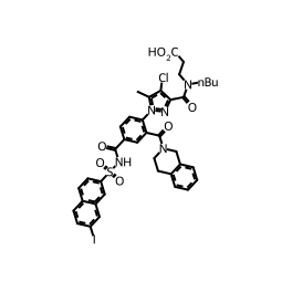 CCCCN(CCC(=O)O)C(=O)c1nn(-c2ccc(C(=O)NS(=O)(=O)c3ccc4ccc(I)cc4c3)cc2C(=O)N2CCc3ccccc3C2)c(C)c1Cl